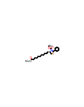 COC(=O)CCCCCCCC/C=C/[C@@H]1CSC(c2ccccc2)N1C(=O)OC(C)(C)C